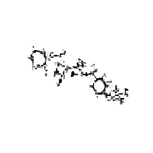 C=C1[C@H](Cc2ccccn2)[C@@H](C(=O)O)N1C(=O)N[C@H](C)c1ccc2c(c1)OC(F)(F)O2